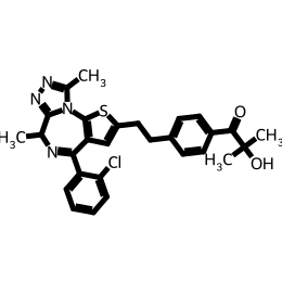 Cc1nnc2n1-c1sc(CCc3ccc(C(=O)C(C)(C)O)cc3)cc1C(c1ccccc1Cl)=NC2C